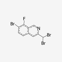 Fc1c(Br)ccc2cc(C(Br)Br)ncc12